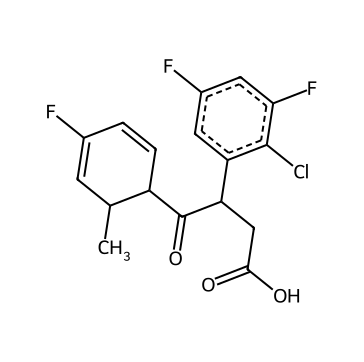 CC1C=C(F)C=CC1C(=O)C(CC(=O)O)c1cc(F)cc(F)c1Cl